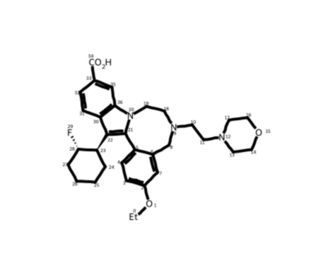 CCOc1ccc2c(c1)CN(CCN1CCOCC1)CCn1c-2c([C@H]2CCCC[C@@H]2F)c2ccc(C(=O)O)cc21